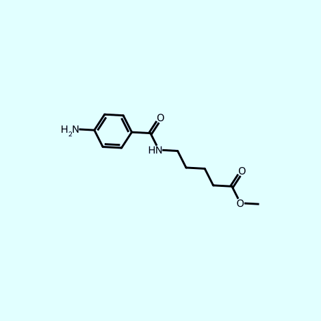 COC(=O)CCCCNC(=O)c1ccc(N)cc1